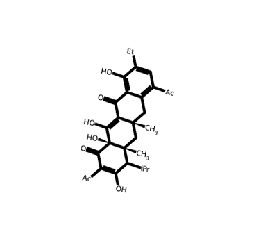 CCc1cc(C(C)=O)c2c(c1O)C(=O)C1=C(O)[C@@]3(O)C(=O)C(C(C)=O)=C(O)C(C(C)C)[C@@]3(C)C[C@@]1(C)C2